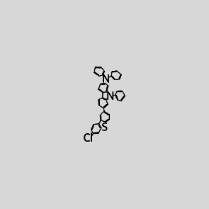 Clc1ccc2c(c1)sc1ccc(-c3ccc4c5ccc(N(c6ccccc6)c6ccccc6)cc5n(-c5ccccc5)c4c3)cc12